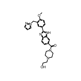 COc1ccc(-c2nc3ccc(C(=O)N4CCN(CCO)CC4)cc3[nH]2)cc1Cn1cccn1